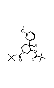 COc1cccc(C2(O)CCN(C(=O)OC(C)(C)C)CC2OC(=O)C(C)(C)C)n1